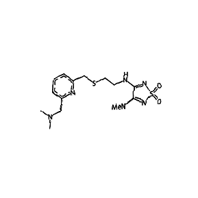 CNC1=NS(=O)(=O)N=C1NCCSCc1cccc(CN(C)C)n1